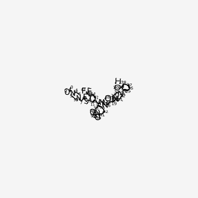 CC(=O)N1CCN(CCSc2cc(-c3nn(CC(O)CN4CCN(c5ccccc5O)CC4)c4c3CN(S(C)(=O)=O)CC4)ccc2C(F)(F)F)CC1